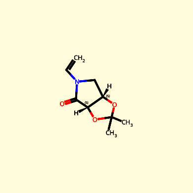 C=CN1C[C@@H]2OC(C)(C)O[C@@H]2C1=O